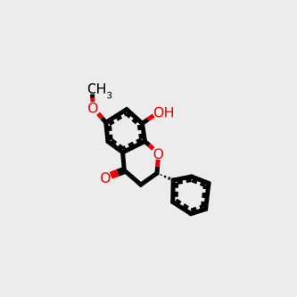 COc1cc(O)c2c(c1)C(=O)C[C@@H](c1ccccc1)O2